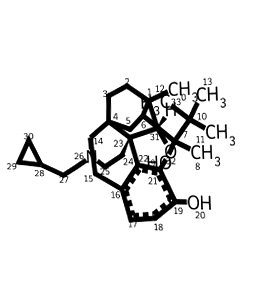 CC12CCC3(CC1C(C)(O)C(C)(C)C)C1Cc4ccc(O)c5c4[C@@]3(CCN1CC1CC1)[C@H]2O5